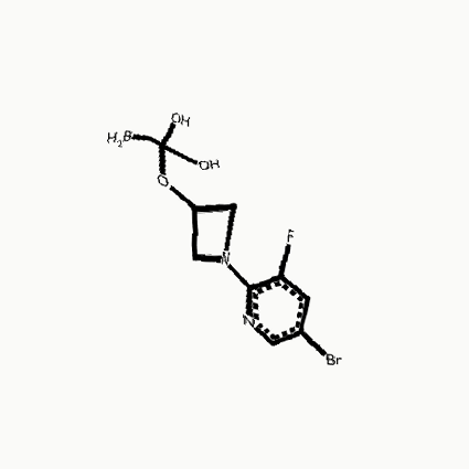 BC(O)(O)OC1CN(c2ncc(Br)cc2F)C1